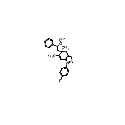 CCCOC(C[C@@]1(C)Cc2cnn(-c3ccc(F)cc3)c2C=C1C)c1ccccc1